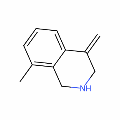 C=C1CNCc2c(C)cccc21